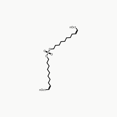 CCCCCCCC/C=C\CCCCCCCCOS(=O)(=O)OCCCCCCCC/C=C\CCCCCCCC